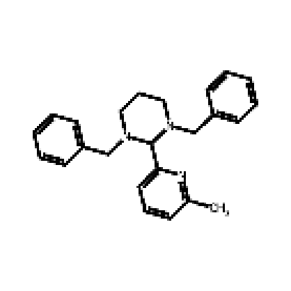 Cc1cccc(C2N(Cc3ccccc3)CCCN2Cc2ccccc2)n1